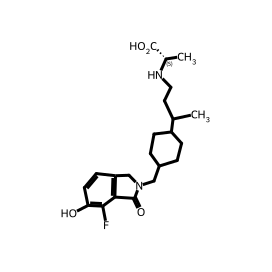 CC(CCN[C@@H](C)C(=O)O)C1CCC(CN2Cc3ccc(O)c(F)c3C2=O)CC1